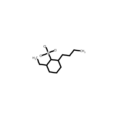 CCCCC1CCCC(CC)C1[Si](Cl)(Cl)Cl